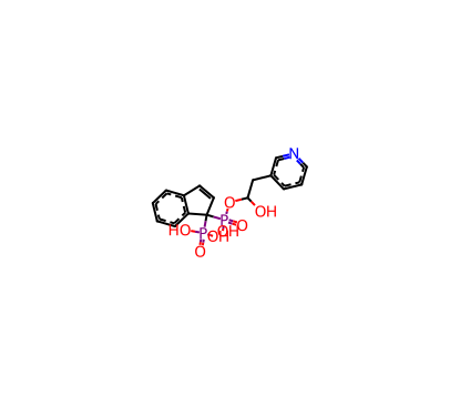 O=P(O)(O)C1(P(=O)(O)OC(O)Cc2cccnc2)C=Cc2ccccc21